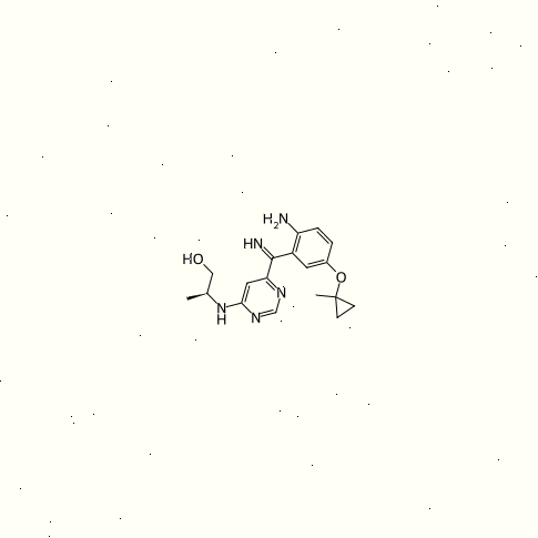 C[C@@H](CO)Nc1cc(C(=N)c2cc(OC3(C)CC3)ccc2N)ncn1